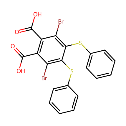 O=C(O)c1c(Br)c(Sc2ccccc2)c(Sc2ccccc2)c(Br)c1C(=O)O